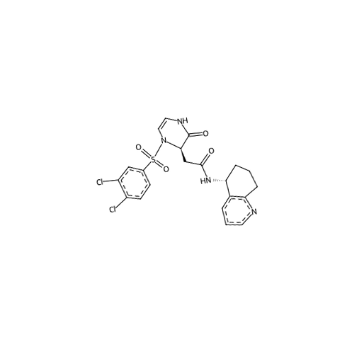 O=C(C[C@@H]1C(=O)NC=CN1S(=O)(=O)c1ccc(Cl)c(Cl)c1)N[C@@H]1CCCc2ncccc21